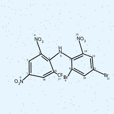 O=[N+]([O-])c1cc([N+](=O)[O-])c(Nc2c(Br)cc(Br)cc2[N+](=O)[O-])c(C(F)(F)F)c1